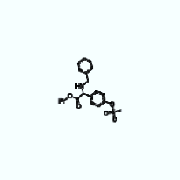 CC(C)OC(=O)C(NCc1ccccc1)c1ccc(OS(C)(=O)=O)cc1